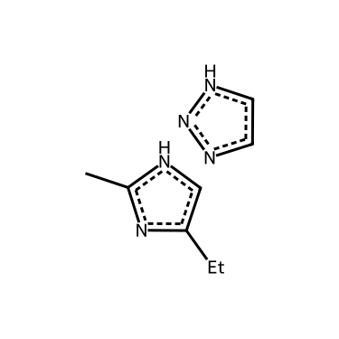 CCc1c[nH]c(C)n1.c1c[nH]nn1